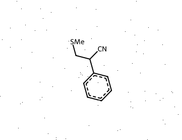 CSCC(C#N)c1ccccc1